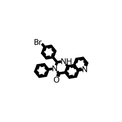 O=C1c2ccc3ncccc3c2NC(c2ccc(Br)cc2)N1c1ccccc1